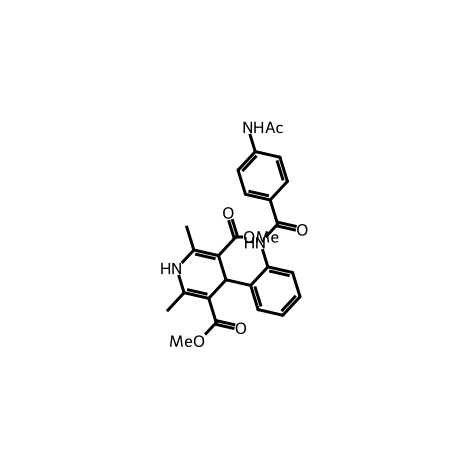 COC(=O)C1=C(C)NC(C)=C(C(=O)OC)C1c1ccccc1NC(=O)c1ccc(NC(C)=O)cc1